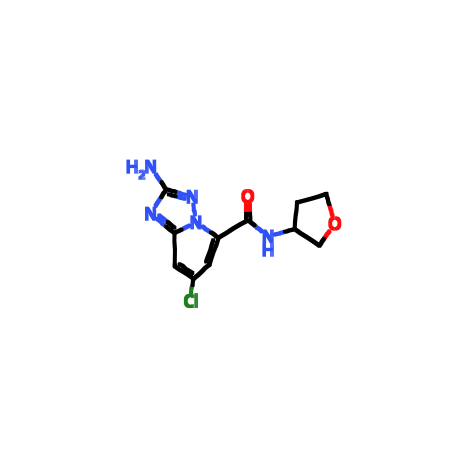 Nc1nc2cc(Cl)cc(C(=O)NC3CCOC3)n2n1